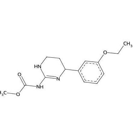 CCOc1cccc(C2CCNC(NC(=O)OC)=N2)c1